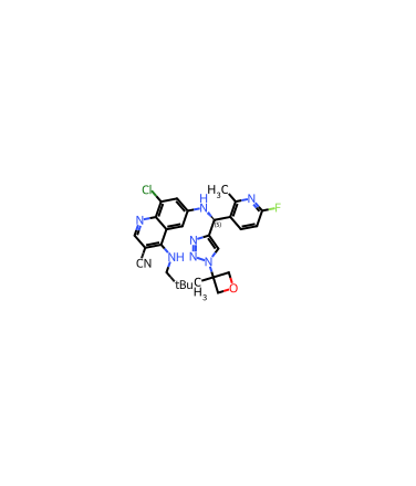 Cc1nc(F)ccc1[C@H](Nc1cc(Cl)c2ncc(C#N)c(NCC(C)(C)C)c2c1)c1cn(C2(C)COC2)nn1